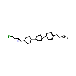 CCCc1ccc(-c2ccc(C3CCC(/C=C/CCF)CC3)cc2)cc1